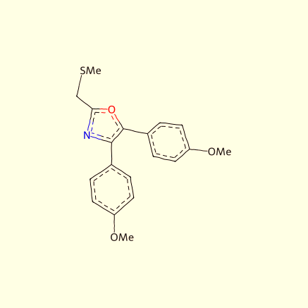 COc1ccc(-c2nc(CSC)oc2-c2ccc(OC)cc2)cc1